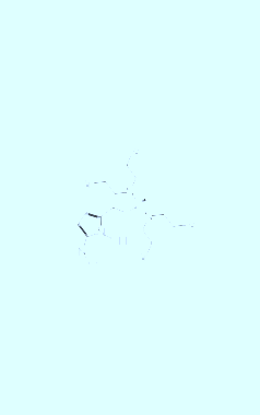 Cn1c(COP(=O)(N(CCBr)CCBr)N(CCBr)CCBr)ccc1[N+](=O)[O-]